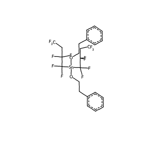 FC(F)(F)CC(F)(F)[C](F)(F)[Sn]([O]CCc1ccccc1)([O]CCc1ccccc1)[C](F)(F)C(F)(F)CC(F)(F)F